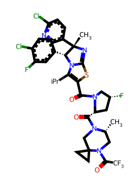 CC(C)C1=C(C(=O)N2C[C@H](F)C[C@@H]2C(=O)N2CC3(CC3)N(C(=O)C(F)(F)F)C[C@H]2C)SC2=N[C@@](C)(c3ccc(Cl)nc3)[C@@H](c3ccc(Cl)c(F)c3)N21